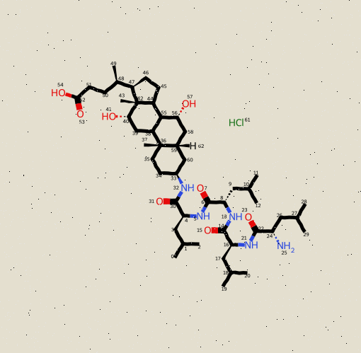 CC(C)C[C@H](NC(=O)[C@H](CC(C)C)NC(=O)[C@H](CC(C)C)NC(=O)[C@@H](N)CC(C)C)C(=O)N[C@H]1CC[C@]2(C)C3C[C@H](O)[C@@]4(C)C(CC[C@@H]4[C@H](C)CCC(=O)O)C3[C@H](O)C[C@@H]2C1.Cl